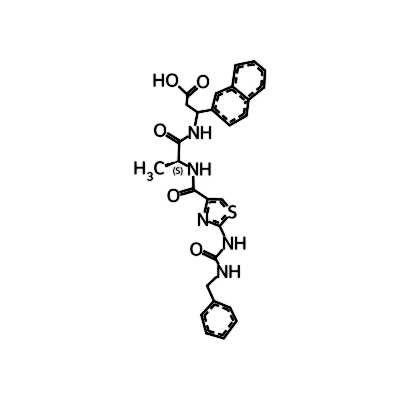 C[C@H](NC(=O)c1csc(NC(=O)NCc2ccccc2)n1)C(=O)NC(CC(=O)O)c1ccc2ccccc2c1